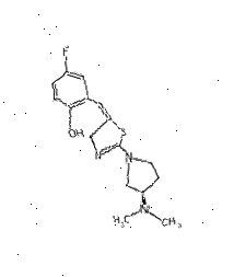 CN(C)[C@@H]1CCN(C2=NC/C(=C\c3cc(F)ccc3O)S2)C1